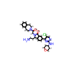 NCCC1c2ccc(-c3nc(NC4CCOCC4)ncc3Cl)cc2C(=O)N1CC(=O)N1CCc2ccccc2CC1